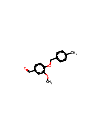 COc1cc(C=O)ccc1OCc1ccc(C)cc1